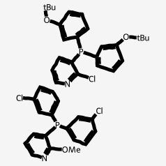 CC(C)(C)Oc1cccc(P(c2cccc(OC(C)(C)C)c2)c2cccnc2Cl)c1.COc1ncccc1P(c1cccc(Cl)c1)c1cccc(Cl)c1